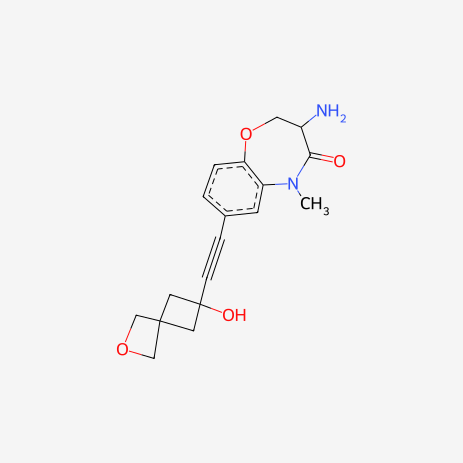 CN1C(=O)C(N)COc2ccc(C#CC3(O)CC4(COC4)C3)cc21